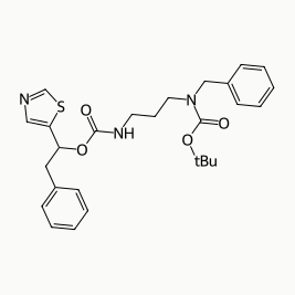 CC(C)(C)OC(=O)N(CCCNC(=O)OC(Cc1ccccc1)c1cncs1)Cc1ccccc1